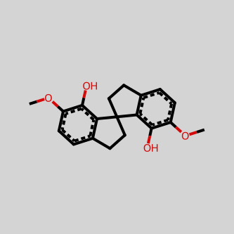 COc1ccc2c(c1O)C1(CC2)CCc2ccc(OC)c(O)c21